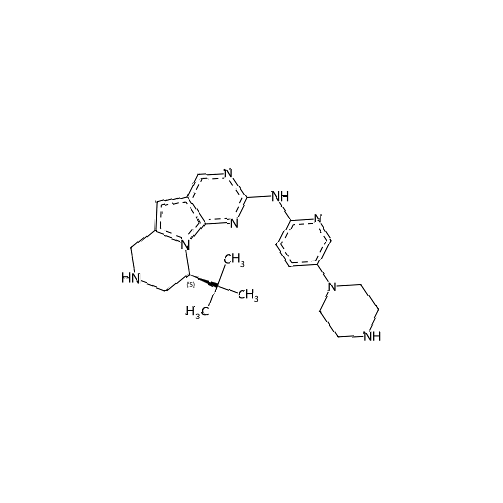 CC(C)(C)[C@H]1CNCc2cc3cnc(Nc4ccc(N5CCNCC5)cn4)nc3n21